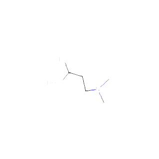 [CH2]CC(CCN(C)C)S(=O)(=O)O